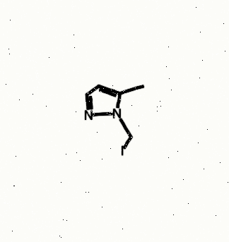 Cc1ccnn1CI